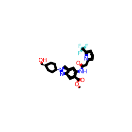 COC(=O)c1cc2nn([C@H]3CC[C@H](CO)CC3)cc2cc1NC(=O)Cc1cccc(C(F)(F)F)n1